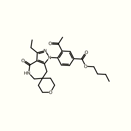 CCCCOC(=O)c1ccc(-n2nc(CC)c3c2CC2(CCOCC2)CNC3=O)c(C(C)=O)c1